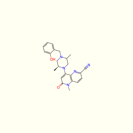 CC1CN(c2cc(=O)n(C)c3ccc(C#N)nc23)[C@@H](C)CN1Cc1ccccc1O